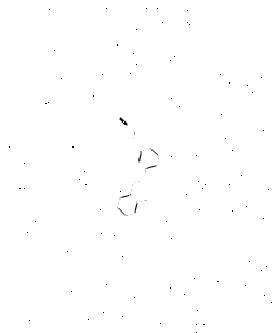 C#CCOc1cccc(OCc2ccccc2F)c1